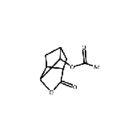 CC(=O)C(=O)OC1C2CC3C(=O)OC1C3C2